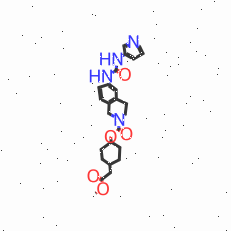 COC(=O)CC1CCC(OC(=O)N2CCc3cc(NC(=O)Nc4cccnc4)ccc3C2)CC1